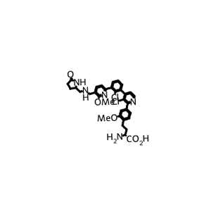 COc1cc(-c2nccc(-c3cccc(-c4ccc(CNCC5CCC(=O)N5)c(OC)n4)c3Cl)c2Cl)ccc1CC[C@H](N)C(=O)O